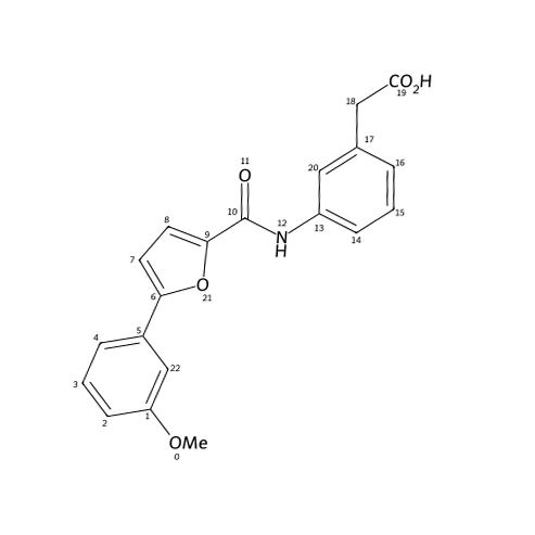 COc1cccc(-c2ccc(C(=O)Nc3cccc(CC(=O)O)c3)o2)c1